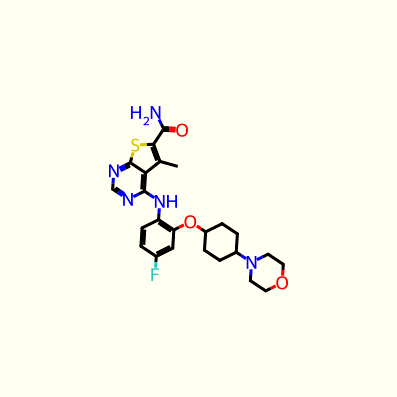 Cc1c(C(N)=O)sc2ncnc(Nc3ccc(F)cc3OC3CCC(N4CCOCC4)CC3)c12